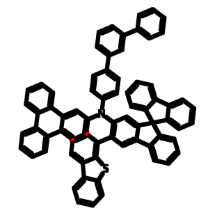 c1ccc(-c2cccc(-c3ccc(N(c4ccc5c6ccccc6c6ccccc6c5c4)c4cc5c(cc4-c4cccc6c4sc4ccccc46)-c4ccccc4C54c5ccccc5-c5ccccc54)cc3)c2)cc1